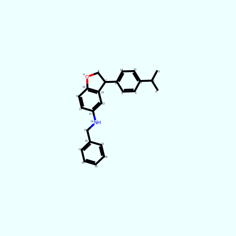 CC(C)c1ccc(C2COc3ccc(NCc4ccccc4)cc32)cc1